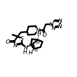 CC1(CC2CCN(C(=O)Cn3cnnn3)CC2)SC(N[C@H]2C[C@H]3CC[C@H]2C3)=NC1=O